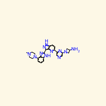 CN1CCN(c2cccc3[nH]c(-c4n[nH]c5ccc(-c6cncc(N7CC(N)C7)n6)nc45)nc23)CC1